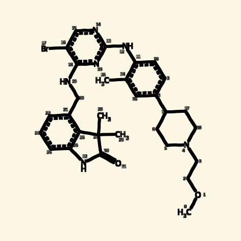 COCCN1CCC(c2ccc(Nc3ncc(Br)c(NCc4cccc5c4C(C)(C)C(=O)N5)n3)c(C)c2)CC1